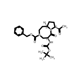 CC(=O)[C@@H]1CC[C@@H]2CCN(C(=O)OCc3ccccc3)C[C@H](NC(=O)OC(C)(C)C)C(=O)N21